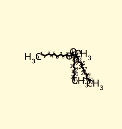 CCCCCCCCCCOC(=O)C(C)(CCCCCCCC)CCCCCCCCCC